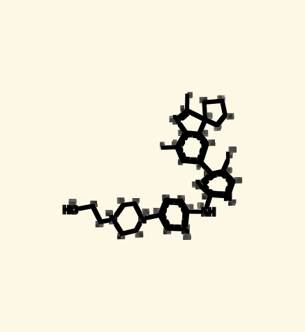 CC1=Nc2c(C)cc(-c3nc(Nc4ccc(N5CCN(CCO)CC5)cn4)ncc3F)cc2C12CCCC2